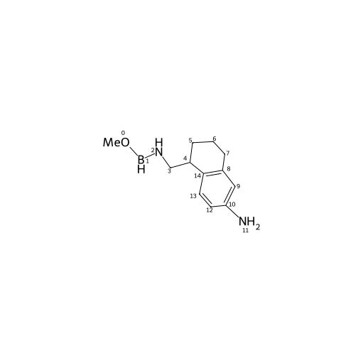 COBNCC1CCCc2cc(N)ccc21